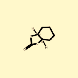 O=C1O[C@H]2CCCC[C@H]2O1